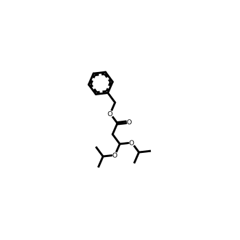 CC(C)OC(CC(=O)OCc1ccccc1)OC(C)C